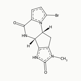 Cn1c2c([nH]c1=O)[C@@H]1NC(=O)c3ccc(Br)n3[C@@H]1C2